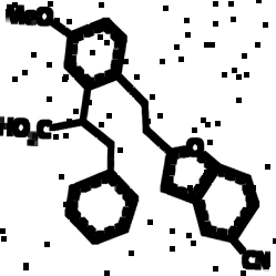 COc1ccc(CCc2cc3cc(C#N)ccc3o2)c(C(Cc2ccccc2)C(=O)O)c1